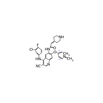 C=N/C=C\C(=C/C)Oc1cc2ncc(C#N)c(Nc3ccc(F)c(Cl)c3)c2cc1NC(=O)C=C1CCNCC1